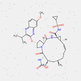 COc1ccc2nc(C(C)C)c(O[C@@H]3C[C@H]4C(=O)N[C@]5(C(=O)NS(=O)(=O)C6CC6)C[C@H]5/C=C\CC[C@@H](C)C[C@@H](C)[C@H](NC(=O)O)C(=O)N4C3)nc2c1